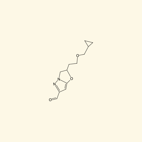 O=Cc1cc2n(n1)CC(CCOCC1CC1)O2